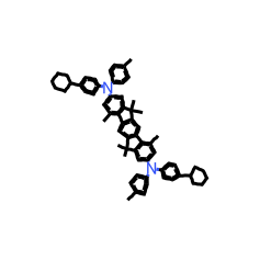 Cc1ccc(N(c2ccc(C3CCCCC3)cc2)c2cc(C)c3c(c2)C(C)(C)c2cc4c(cc2-3)C(C)(C)c2cc(N(c3ccc(C)cc3)c3ccc(C5CCCCC5)cc3)cc(C)c2-4)cc1